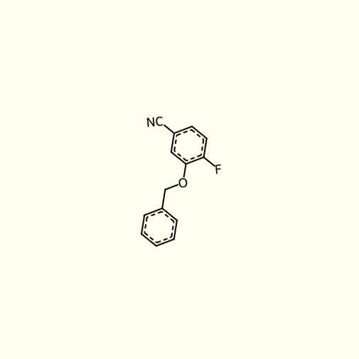 N#Cc1ccc(F)c(OCc2ccccc2)c1